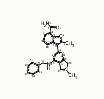 Cc1oc2c(C(N)=O)cccc2c1-c1nc2c(c(NCc3ccccc3)n1)CN(C)C2